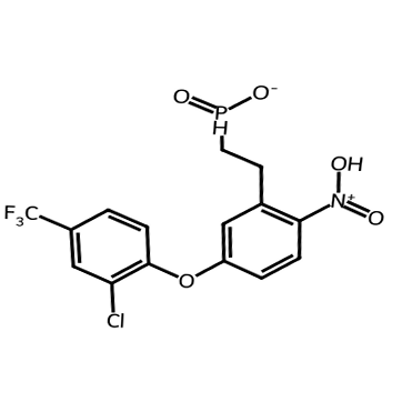 O=[N+](O)c1ccc(Oc2ccc(C(F)(F)F)cc2Cl)cc1CC[PH](=O)[O-]